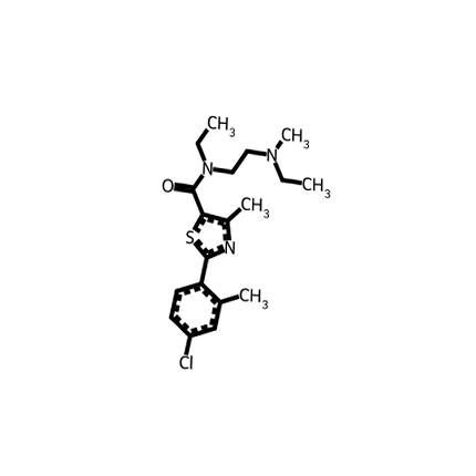 CCN(C)CCN(CC)C(=O)c1sc(-c2ccc(Cl)cc2C)nc1C